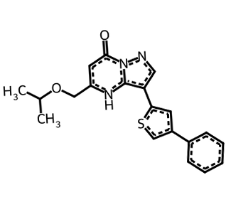 CC(C)OCc1cc(=O)n2ncc(-c3cc(-c4ccccc4)cs3)c2[nH]1